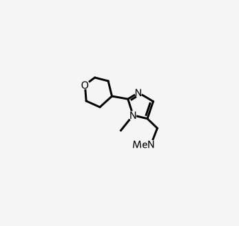 CNCc1cnc(C2CCOCC2)n1C